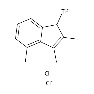 CC1=C(C)[CH]([Ti+2])c2cccc(C)c21.[Cl-].[Cl-]